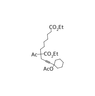 CCOC(=O)CCCCCCC(CC#CC1(OC(C)=O)CCCCC1)(C(C)=O)C(=O)OCC